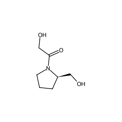 O=C(CO)N1CCC[C@@H]1CO